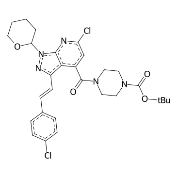 CC(C)(C)OC(=O)N1CCN(C(=O)c2cc(Cl)nc3c2c(/C=C/c2ccc(Cl)cc2)nn3C2CCCCO2)CC1